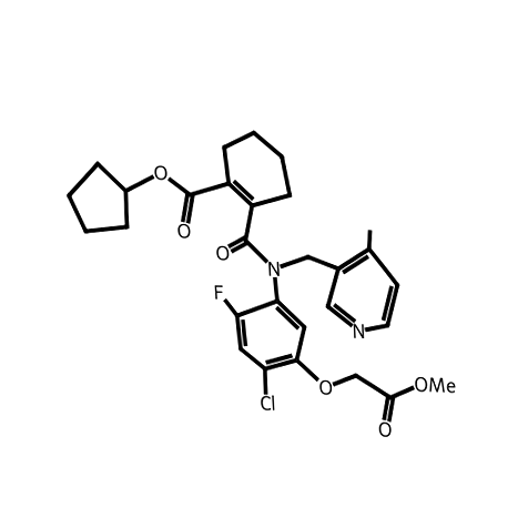 COC(=O)COc1cc(N(Cc2cnccc2C)C(=O)C2=C(C(=O)OC3CCCC3)CCCC2)c(F)cc1Cl